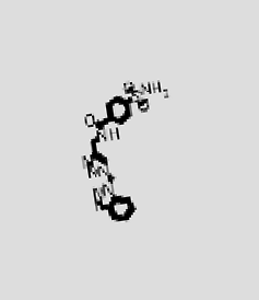 NS(=O)(=O)c1ccc(C(=O)NCc2cn(Cn3nnc4ccccc43)nn2)cc1